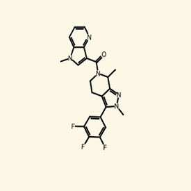 CC1c2nn(C)c(-c3cc(F)c(F)c(F)c3)c2CCN1C(=O)c1cn(C)c2cccnc12